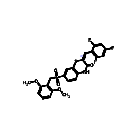 COc1cccc(OC)c1CS(=O)(=O)c1ccc2c(c1)S/C(=C/c1c(F)cc(F)cc1F)C(=O)N2